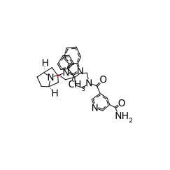 Cc1nc2ccccc2n1C1C[C@H]2CC[C@@H](C1)N2CCC1(c2ccccc2)CCN(C(=O)c2cncc(C(N)=O)c2)CC1